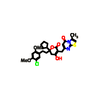 COc1cc(OC)c(CCC2(C3CCCC3)CC(O)=C(Cc3cc(=O)n4c(C)csc4n3)C(=O)O2)cc1Cl